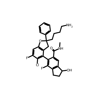 CNC(=O)c1cc2c(c(F)c1-c1c(Cl)c(F)cc3c1CC(CCCCN)(c1ccccc1)O3)CCC2O